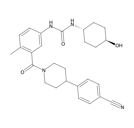 Cc1ccc(NC(=O)N[C@H]2CC[C@H](O)CC2)cc1C(=O)N1CCC(c2ccc(C#N)cc2)CC1